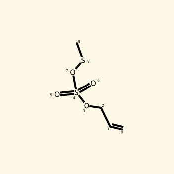 C=CCOS(=O)(=O)OSC